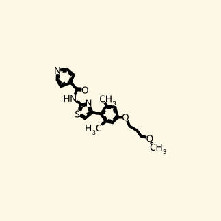 COCCCOc1cc(C)c(-c2csc(NC(=O)c3ccncc3)n2)c(C)c1